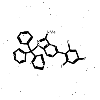 CNc1nn(C(c2ccccc2)(c2ccccc2)c2ccccc2)c2ccc(-c3c(F)cc(F)cc3F)cc12